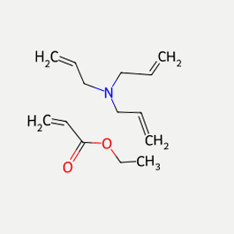 C=CC(=O)OCC.C=CCN(CC=C)CC=C